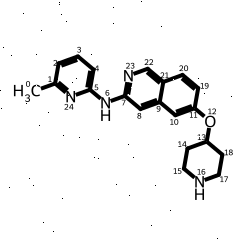 Cc1cccc(Nc2cc3cc(OC4CCNCC4)ccc3cn2)n1